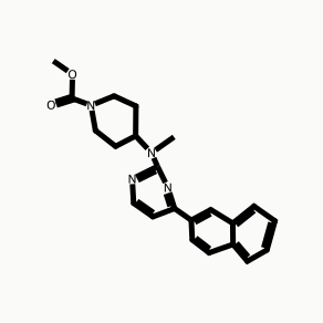 COC(=O)N1CCC(N(C)c2nccc(-c3ccc4ccccc4c3)n2)CC1